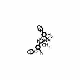 C=C(Nc1ncnc(-c2ccc(OC3CCOCC3)c(C#N)c2)c1C)c1ccc(N2CCOCC2)cc1